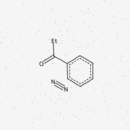 CCC(=O)c1ccccc1.N#N